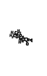 CC(C)(C)OC(=O)Nc1nc2c(s1)CN(C1CC1)C2=O